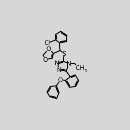 CCn1c(SC(C2=COCO2)c2ccccc2Cl)nnc1-c1ccccc1Oc1ccccc1